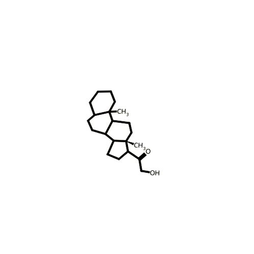 CC12CCCCC1CCC1C2CC[C@]2(C)C(C(=O)CO)CCC12